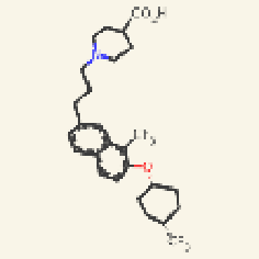 O=C(O)C1CCN(CCCc2ccc3ccc(O[C@H]4CC[C@@H](C(F)(F)F)CC4)c(C(F)(F)F)c3c2)CC1